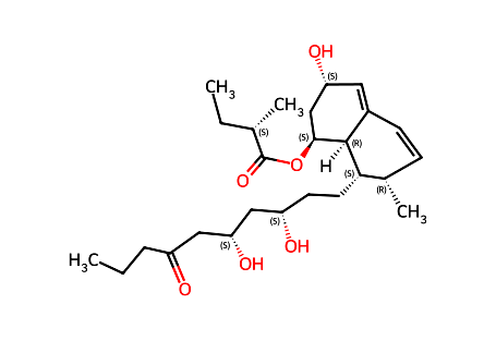 CCCC(=O)C[C@@H](O)C[C@@H](O)CC[C@@H]1[C@@H]2C(=C[C@@H](O)C[C@@H]2OC(=O)[C@@H](C)CC)C=C[C@@H]1C